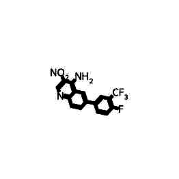 Nc1c([N+](=O)[O-])cnc2ccc(-c3ccc(F)c(C(F)(F)F)c3)cc12